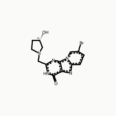 O=c1[nH]c(CN2CC[C@H](O)C2)nc2c1nc1ccc(Br)cn12